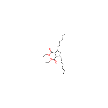 CCCCCCC1CC(CCCCCC)C(C(=O)OCC)C1C(=O)OCC